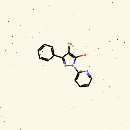 Cc1c(-c2ccccc2)nn(-c2ccccn2)c1O